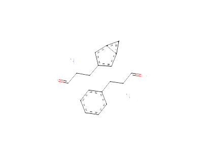 N[C@@H](C=O)Cc1cc2cc-2c1.N[C@@H](C=O)Cc1ccccc1